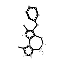 Cc1sc2c(c1Cc1ccccc1)CO[C@H](C)c1nnc(C)n1-2